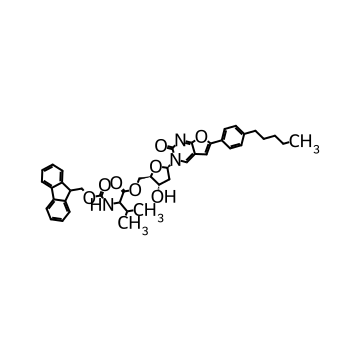 CCCCCc1ccc(-c2cc3cn([C@H]4C[C@H](O)[C@@H](COC(=O)C(NC(=O)OCC5c6ccccc6-c6ccccc65)C(C)C)O4)c(=O)nc3o2)cc1